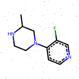 CC1CN(c2ccncc2F)CCN1